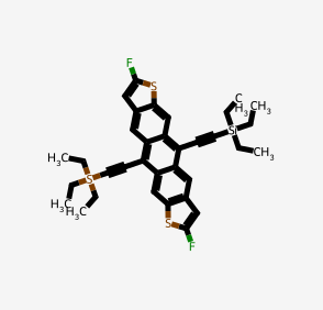 CC[Si](C#Cc1c2cc3cc(F)sc3cc2c(C#CS(CC)(CC)CC)c2cc3cc(F)sc3cc12)(CC)CC